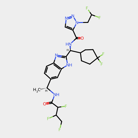 C[C@@H](NC(=O)C(F)C(F)CF)c1ccc2nc([C@@H](NC(=O)c3cnnn3CC(F)F)C3CCC(F)(F)CC3)[nH]c2c1